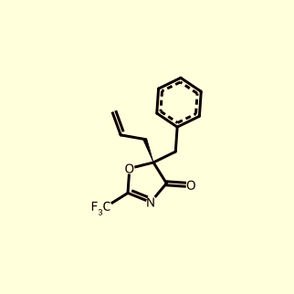 C=CC[C@]1(Cc2ccccc2)OC(C(F)(F)F)=NC1=O